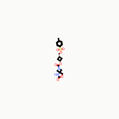 Cc1ccc(S(=O)(=O)OC[C@H]2C[C@@H](OC(=O)N3CC4(COC(=O)N4)C3)C2)cc1